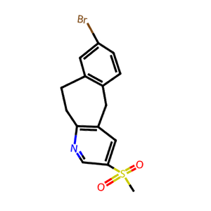 CS(=O)(=O)c1cnc2c(c1)Cc1ccc(Br)cc1CC2